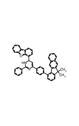 CC1(C)c2cc3ccccc3cc2-c2c(-c3ccc(C4=CC(c5cccc6c5oc5ccccc56)NC(c5ccccc5)=N4)cc3)cccc21